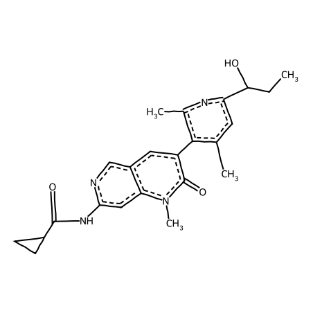 CCC(O)c1cc(C)c(-c2cc3cnc(NC(=O)C4CC4)cc3n(C)c2=O)c(C)n1